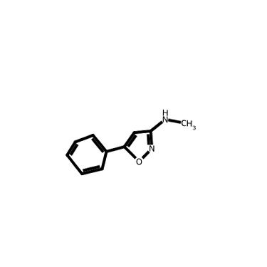 CNc1cc(-c2ccccc2)on1